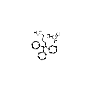 CCCC[P+](c1ccccc1)(c1ccccc1)c1ccccc1.[Cl][Cu-]([Cl])[Cl]